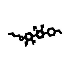 C/C=C/COc1ccc(-c2ccc(C3CCC(CC)CC3)c(F)c2F)c(F)c1F